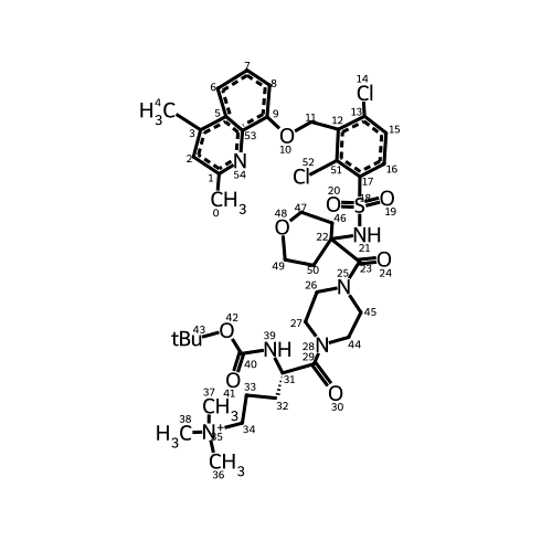 Cc1cc(C)c2cccc(OCc3c(Cl)ccc(S(=O)(=O)NC4(C(=O)N5CCN(C(=O)[C@H](CCC[N+](C)(C)C)NC(=O)OC(C)(C)C)CC5)CCOCC4)c3Cl)c2n1